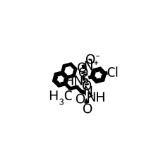 CC(c1cccc2c1CCCC2)C(NS(=O)(=O)c1ccc(Cl)cc1[N+](=O)[O-])c1n[nH]c(=O)o1